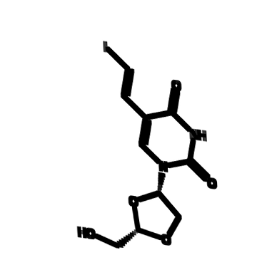 O=c1[nH]c(=O)n([C@@H]2CO[C@H](CO)O2)cc1C=CI